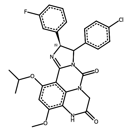 COc1cc(OC(C)C)c2c3c1NC(=O)CN3C(=O)N1C2=N[C@@H](c2cccc(F)c2)C1c1ccc(Cl)cc1